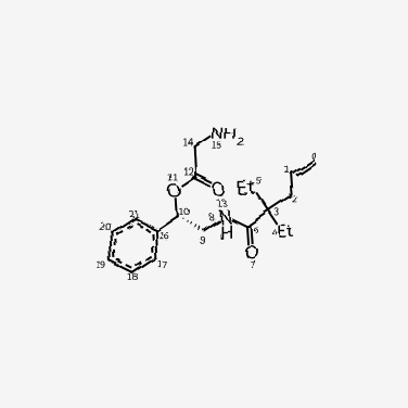 C=CCC(CC)(CC)C(=O)NC[C@@H](OC(=O)CN)c1ccccc1